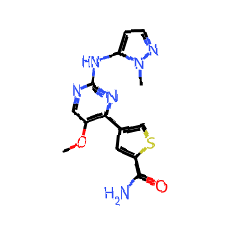 COc1cnc(Nc2ccnn2C)nc1-c1csc(C(N)=O)c1